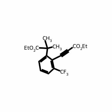 CCOC(=O)C#Cc1c(C(F)(F)F)cccc1C(C)(C)C(=O)OCC